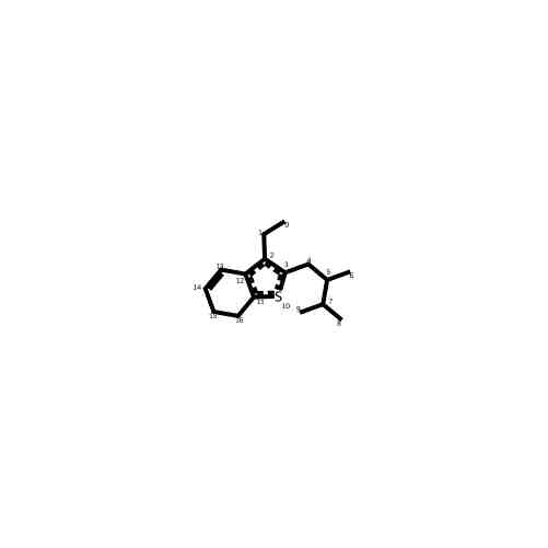 CCc1c(CC(C)C(C)C)sc2c1C=CCC2